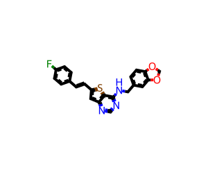 Fc1ccc(/C=C/c2cc3ncnc(NCc4ccc5c(c4)OCO5)c3s2)cc1